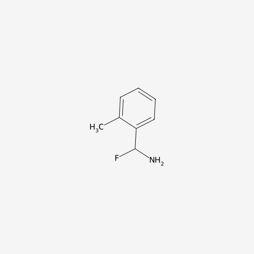 Cc1ccccc1C(N)F